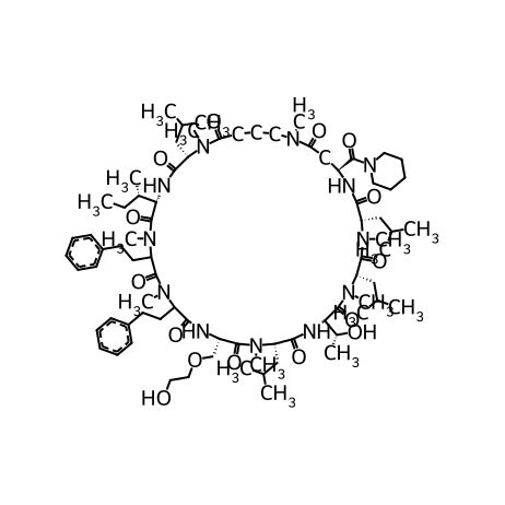 CC[C@H](C)[C@@H]1NC(=O)[C@H](CC(C)C)N(C)C(=O)CCCN(C)C(=O)C[C@@H](C(=O)N2CCCCC2)NC(=O)[C@H](CC(C)C)N(C)C(=O)[C@H](CC(C)C)N(C)C(=O)[C@H]([C@@H](C)O)NC(=O)[C@H](CC(C)C)N(C)C(=O)[C@H](COCCO)NC(=O)C(CCc2ccccc2)N(C)C(=O)C(CCc2ccccc2)N(C)C1=O